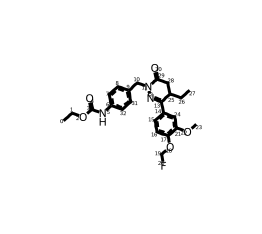 CCOC(=O)Nc1ccc(CN2N=C(c3ccc(OCF)c(OC)c3)C(CC)CC2=O)cc1